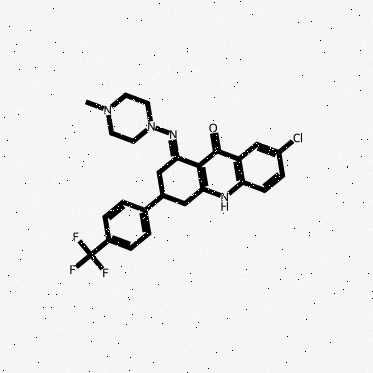 CN1CCN(N=C2CC(c3ccc(C(F)(F)F)cc3)Cc3[nH]c4ccc(Cl)cc4c(=O)c32)CC1